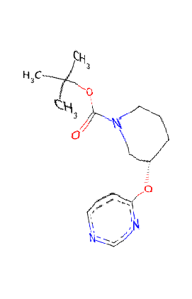 CC(C)(C)OC(=O)N1CCC[C@H](Oc2ccncn2)C1